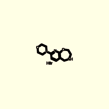 Br.c1cc2c(nc1N1CCOCC1)OCCNC2